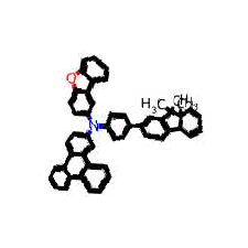 CC1(C)c2cc(-c3ccc(N(c4ccc5oc6ccccc6c5c4)c4ccc5c6ccccc6c6ccccc6c5c4)cc3)ccc2C2C=CC=CC21C